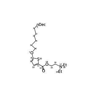 CCCCCCCCCCCCCCCCOc1ccc(C(=O)OCCN(CC)CC)s1